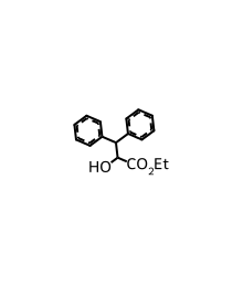 CCOC(=O)C(O)C(c1ccccc1)c1ccccc1